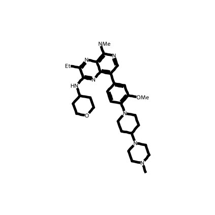 CCc1nc2c(NC)ncc(-c3ccc(N4CCC(N5CCN(C)CC5)CC4)c(OC)c3)c2nc1NC1CCOCC1